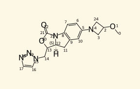 COC1CN(c2ccc3c(c2)C[C@H]2C(Cn4ccnn4)OC(=O)N32)C1